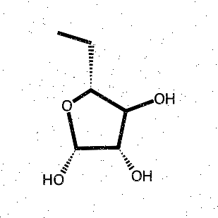 CC[C@H]1O[C@@H](O)[C@@H](O)C1O